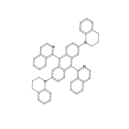 c1ccc2c(c1)CCCN2c1ccc2c(-c3nccc4ccccc34)c3cc(N4CCCc5ccccc54)ccc3c(-c3nccc4ccccc34)c2c1